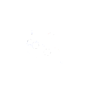 C[C@H](CCN)c1ccc(Nc2cc(NC3CC3)n3ncc(C#N)c3n2)cc1CS(C)(=O)=O.O=C(O)C(F)(F)F